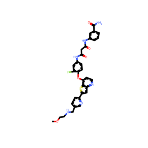 COCCNCc1ccc(-c2cc3nccc(Oc4ccc(NC(=O)CC(=O)Nc5cccc(C(N)=O)c5)cc4F)c3s2)nc1